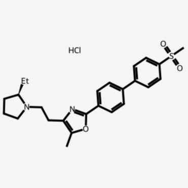 CC[C@@H]1CCCN1CCc1nc(-c2ccc(-c3ccc(S(C)(=O)=O)cc3)cc2)oc1C.Cl